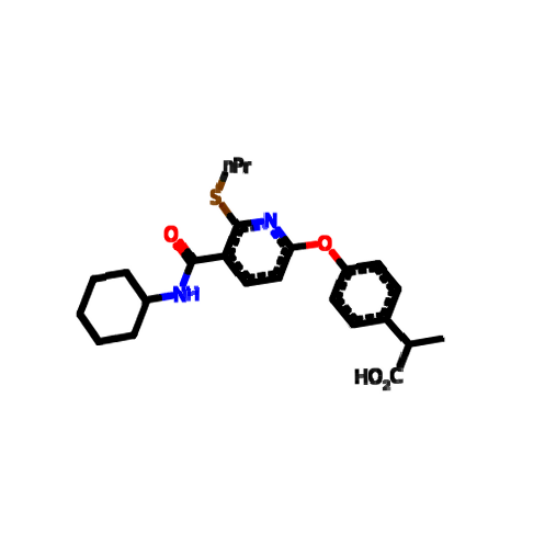 CCCSc1nc(Oc2ccc(C(C)C(=O)O)cc2)ccc1C(=O)NC1CCCCC1